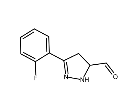 O=CC1CC(c2ccccc2F)=NN1